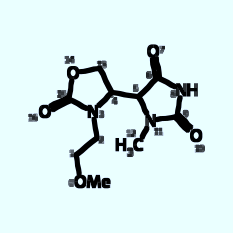 COCCN1[C](C2C(=O)NC(=O)N2C)COC1=O